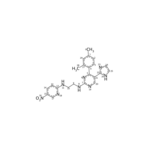 Cc1ccc(-c2nc(NCCNc3ccc([N+](=O)[O-])cn3)ncc2-c2ncc[nH]2)c(C)c1